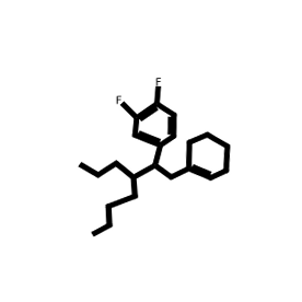 CCCCC(CCC)C(CC1=CCCCC1)c1ccc(F)c(F)c1